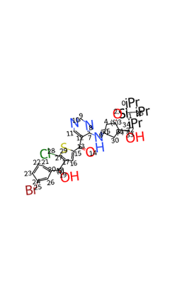 CC(C)[Si](O[C@H]1C[C@H](Nc2ncncc2C(=O)c2cc([C@@H](O)c3cccc(Br)c3)c(Cl)s2)C[C@@H]1CO)(C(C)C)C(C)C